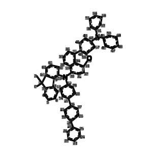 CC1(C)c2ccccc2-c2c(N(c3ccc(-c4ccc(-c5ccccc5)cc4)cc3)c3ccc4c5c(cccc35)-c3ccc(N(c5ccccc5)c5ccccc5)cc3O4)cccc21